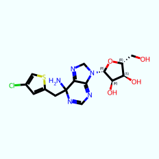 NC1(Cc2cc(Cl)cs2)N=CN=C2C1=NCN2[C@@H]1O[C@H](CO)[C@@H](O)[C@H]1O